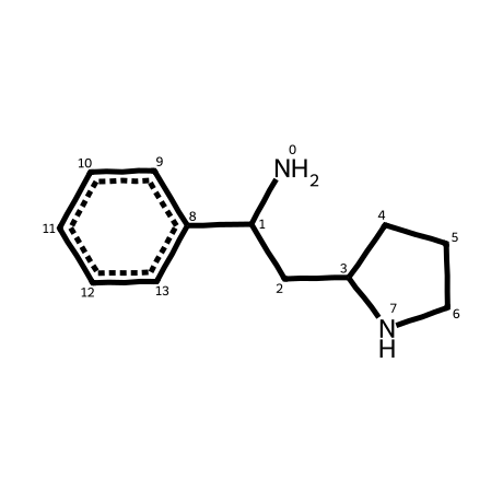 NC(CC1CCCN1)c1ccccc1